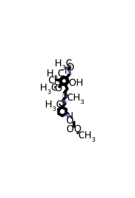 CCOC(=O)CO/N=C1\CCC[C@](C)(/C=C/C(C)=C/Cc2c(O)c(/C=N/OC)c(C)c(Cl)c2OC)C1